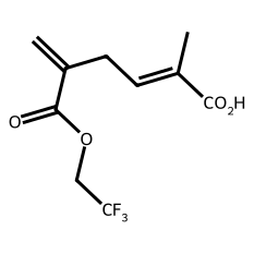 C=C(CC=C(C)C(=O)O)C(=O)OCC(F)(F)F